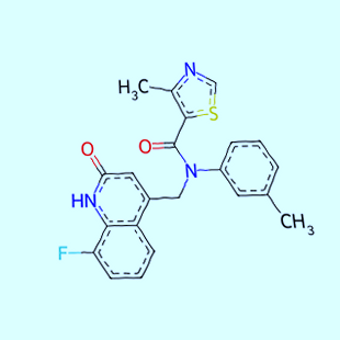 Cc1cccc(N(Cc2cc(=O)[nH]c3c(F)cccc23)C(=O)c2scnc2C)c1